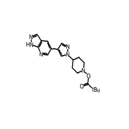 CC(C)(C)C(=O)ON1CCC(n2cc(-c3cnc4[nH]ncc4c3)cn2)CC1